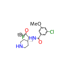 COc1cc(Cl)cc(C(=O)NC[C@]2(CC(=O)C(C)(C)C)CCNC[C@H]2F)c1